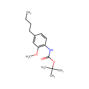 CCCCc1ccc(NC(=O)OC(C)(C)C)c(OC)c1